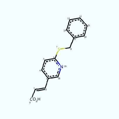 O=C(O)/C=C/c1ccc(SCc2ccccc2)nc1